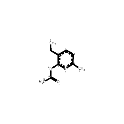 CCc1ccc(C)nc1OC(C)=O